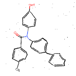 N#Cc1ccc(C(=O)N(c2ccc(O)cc2)c2ccc(-c3ccccc3)cc2)cc1